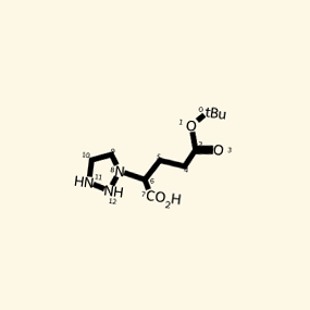 CC(C)(C)OC(=O)CCC(C(=O)O)N1CCNN1